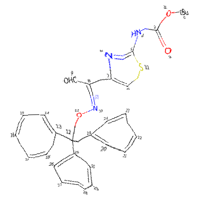 CC(C)(C)OC(=O)Nc1nc(/C([C]=O)=N/OC(c2ccccc2)(c2ccccc2)c2ccccc2)cs1